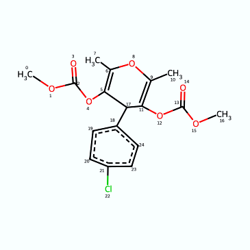 COC(=O)OC1=C(C)OC(C)=C(OC(=O)OC)C1c1ccc(Cl)cc1